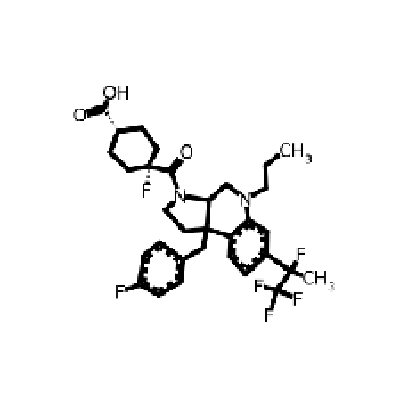 CCCN1CC2N(C(=O)[C@]3(F)CC[C@@H](C(=O)O)CC3)CCC2(Cc2ccc(F)cc2)c2ccc(C(C)(F)C(F)(F)F)cc21